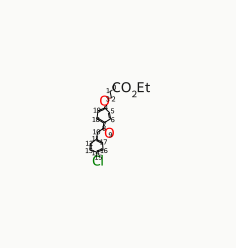 CCOC(=O)CCOc1ccc(C(=O)Cc2ccc(Cl)cc2)cc1